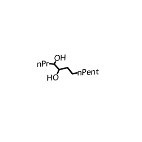 CCCCCCCC(O)C(O)CCC